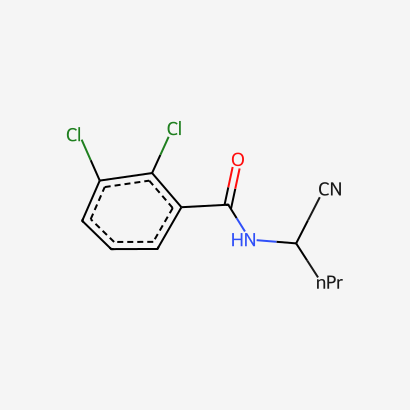 CCCC(C#N)NC(=O)c1cccc(Cl)c1Cl